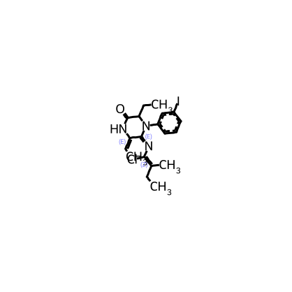 C/C=C1/NC(=O)C(CC)N(c2cccc(I)c2)/C1=N/C(Cl)=C(\C)CC